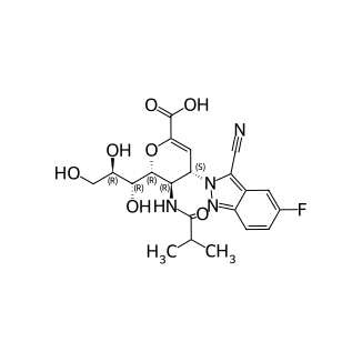 CC(C)C(=O)N[C@H]1[C@H]([C@H](O)[C@H](O)CO)OC(C(=O)O)=C[C@@H]1n1nc2ccc(F)cc2c1C#N